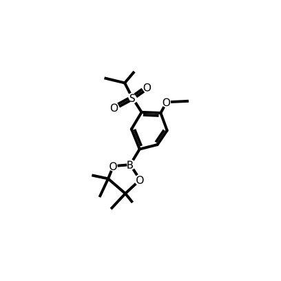 COc1ccc(B2OC(C)(C)C(C)(C)O2)cc1S(=O)(=O)C(C)C